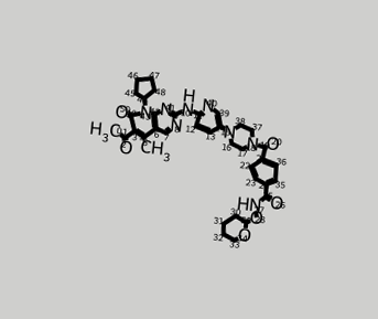 CC(=O)c1c(C)c2cnc(Nc3ccc(N4CCN(C(=O)c5ccc(C(=O)NOC6CCCCO6)cc5)CC4)cn3)nc2n(C2CCCC2)c1=O